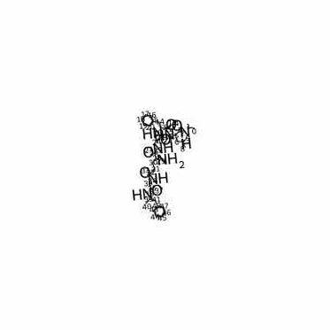 CCNC(=O)C(CC(C)C)NC(=O)C(Cc1ccccc1)NC(=O)CNC(=O)C(N)CCC(=O)NCC(=O)NC(C)Cc1ccccc1